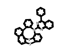 c1ccc(-c2nc(N3c4ccccc4-c4cccc5ccc6c(c45)Sc4c(cccc43)S6)nc3ccccc23)cc1